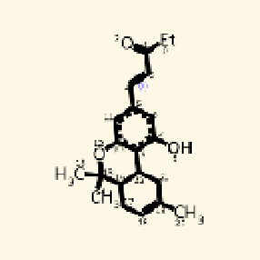 CCC(=O)/C=C/c1cc(O)c2c(c1)OC(C)(C)C1CC=C(C)CC21